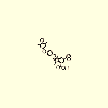 Cc1cc(Oc2ccc(Cn3nc(C)c4c(C(=O)O)cc(-c5ccco5)cc43)cc2)cc(C)c1Cl